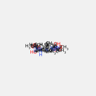 COC(=O)N[C@H](C(=O)N1C[C@@H](O)C[C@H]1c1nc2cc([C@H]3CC[C@H](c4ccc5c(c4)NC([C@@H]4C[C@H](O)CN4C(=O)[C@@H](NC(=O)OC)C(C)C)N5)N3c3ccc(C(C)(C)C)cc3)ccc2[nH]1)C(C)C